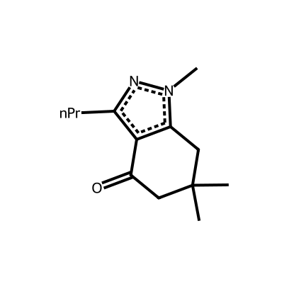 CCCc1nn(C)c2c1C(=O)CC(C)(C)C2